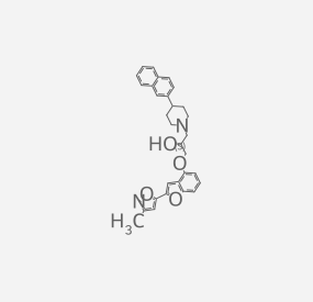 Cc1cc(-c2cc3c(OC[C@@H](O)CN4CCC(c5ccc6ccccc6c5)CC4)cccc3o2)on1